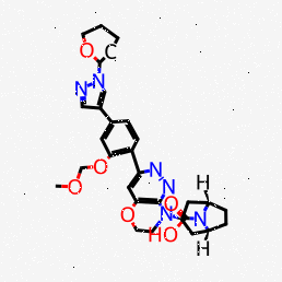 COCOc1cc(-c2cnn(C3CCCCO3)c2)ccc1-c1cc2c(nn1)N([C@@H]1C[C@H]3CC[C@@H](C1)N3C(=O)O)CCO2